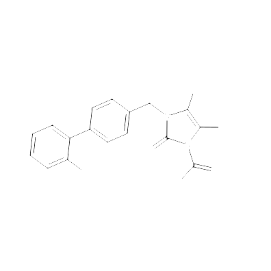 CCCC(=O)n1c(C(=O)O)c(CCC)n(Cc2ccc(-c3ccccc3C(=O)O)cc2)c1=O